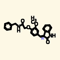 COc1cc(/C=C2/C(=O)Nc3ccccc32)ccc1OCC(=O)NCc1ccccc1